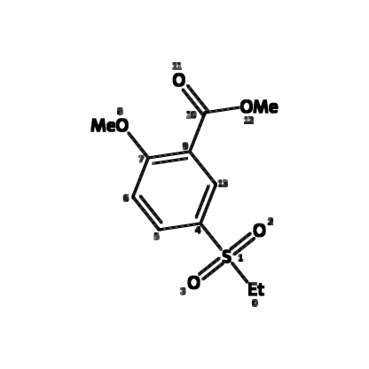 CCS(=O)(=O)c1ccc(OC)c(C(=O)OC)c1